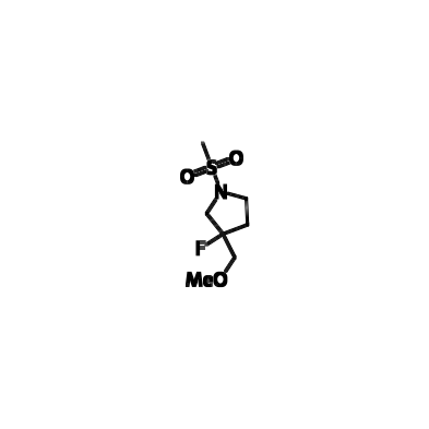 COCC1(F)CCN(S(C)(=O)=O)C1